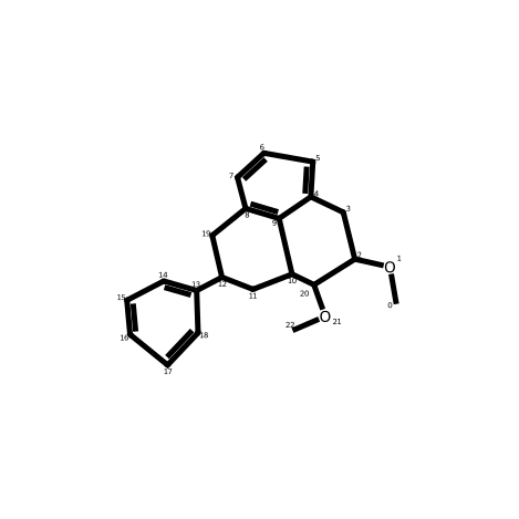 COC1Cc2cccc3c2C(CC(c2ccccc2)C3)C1OC